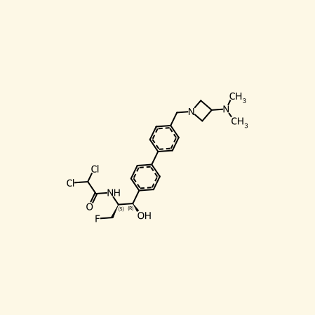 CN(C)C1CN(Cc2ccc(-c3ccc([C@@H](O)[C@@H](CF)NC(=O)C(Cl)Cl)cc3)cc2)C1